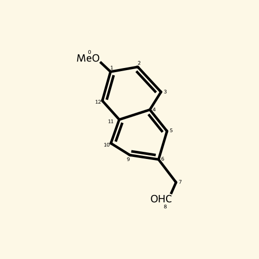 COc1ccc2cc(CC=O)ccc2c1